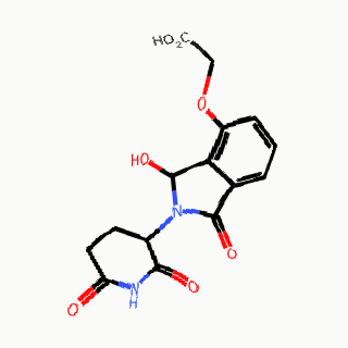 O=C(O)COc1cccc2c1C(O)N(C1CCC(=O)NC1=O)C2=O